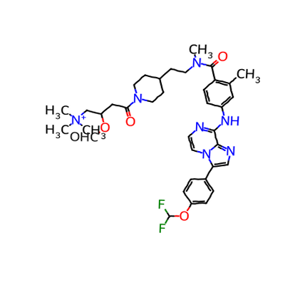 Cc1cc(Nc2nccn3c(-c4ccc(OC(F)F)cc4)cnc23)ccc1C(=O)N(C)CCC1CCN(C(=O)CC(C[N+](C)(C)C)OC=O)CC1